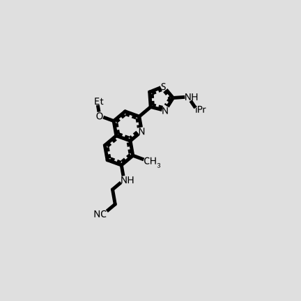 CCOc1cc(-c2csc(NC(C)C)n2)nc2c(C)c(NCCC#N)ccc12